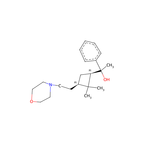 CC(O)(c1ccccc1)[C@@H]1C[C@H](CCN2CCOCC2)C1(C)C